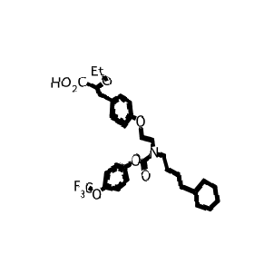 CCOC(Cc1ccc(OCCN(CCCCC2CCCCC2)C(=O)Oc2ccc(OC(F)(F)F)cc2)cc1)C(=O)O